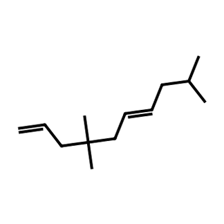 C=CCC(C)(C)CC=CCC(C)C